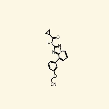 N#CCOc1cccc(-c2cccn3nc(NC(=O)C4CC4)nc23)c1